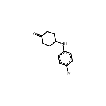 O=C1CCC(Nc2ccc(Br)cc2)CC1